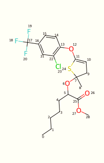 CCCCCC(OC1(C)CC=C(Oc2ccc(C(F)(F)F)cc2Cl)S1)C(=O)OC